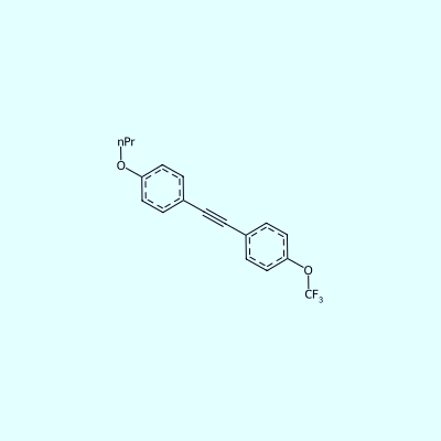 CCCOc1ccc(C#Cc2ccc(OC(F)(F)F)cc2)cc1